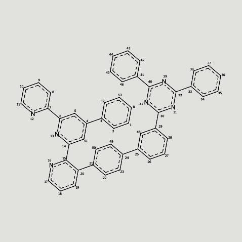 c1ccc(-c2cc(-c3ccccn3)nc(-c3ncccc3-c3ccc(-c4cccc(-c5nc(-c6ccccc6)nc(-c6ccccc6)n5)c4)cc3)c2)cc1